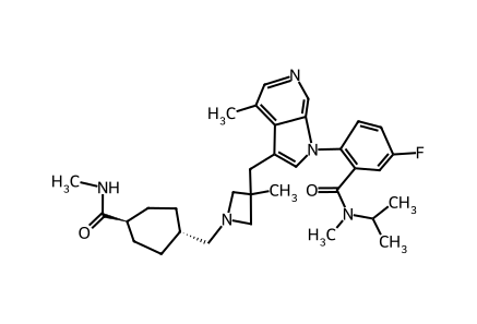 CNC(=O)[C@H]1CC[C@H](CN2CC(C)(Cc3cn(-c4ccc(F)cc4C(=O)N(C)C(C)C)c4cncc(C)c34)C2)CC1